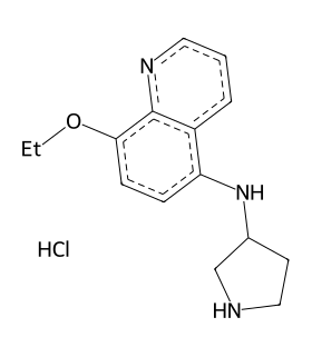 CCOc1ccc(NC2CCNC2)c2cccnc12.Cl